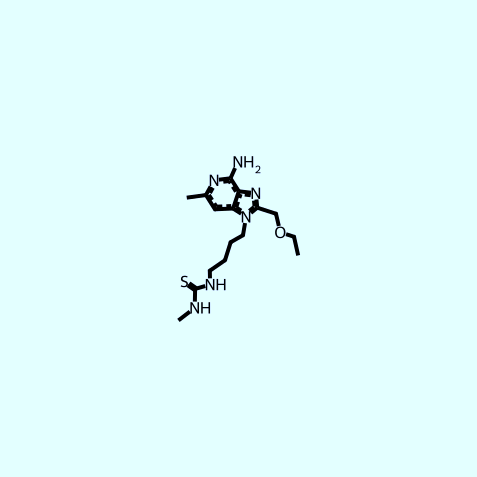 CCOCc1nc2c(N)nc(C)cc2n1CCCCNC(=S)NC